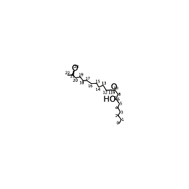 CCCCCCC(O)CC1OC1CCCCCCCCCC(C)=O